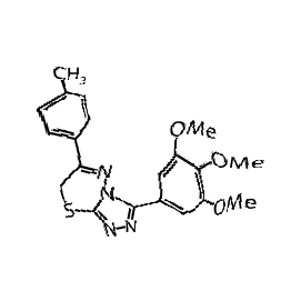 COc1cc(-c2nnc3n2N=C(c2ccc(C)cc2)CS3)cc(OC)c1OC